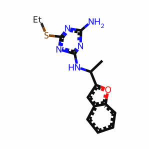 CCSc1nc(N)nc(NC(C)c2cc3ccccc3o2)n1